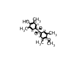 COc1c(C)cc(S(=O)(=O)c2cc(C)c(O)c(C)c2)cc1C